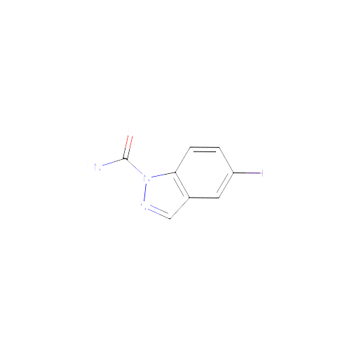 NC(=O)n1ncc2cc(I)ccc21